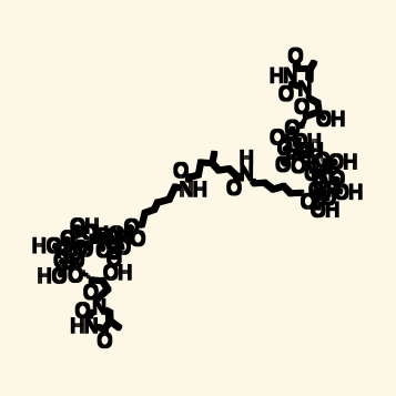 Cc1cn([C@H]2CC(O)[C@@H](COP(=O)(O)OP(=O)(O)OP(=O)(O)OP(=O)(O)OP(=O)(O)OP(=O)(O)OCCCCCCNC(=O)CCC(C)CCC(=O)NCCCCCCOP(=O)(O)OP(=O)(O)OP(=O)(O)OP(=O)(O)OP(=O)(O)OP(=O)(O)OC[C@H]3O[C@@H](n4cc(C)c(=O)[nH]c4=O)C[C@H]3O)O2)c(=O)[nH]c1=O